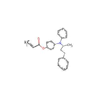 C=CC(=O)Oc1ccc(N(c2ccccc2)C(C)CCc2ccccc2)cc1